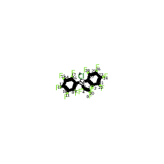 FC(F)=C(F)[Si](Cl)(c1c(F)c(F)c(F)c(F)c1F)c1c(F)c(F)c(F)c(F)c1F